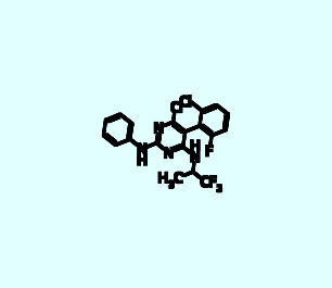 CC(Nc1nc(Nc2ccccc2)nc(Cl)c1-c1c(F)cccc1Cl)C(F)(F)F